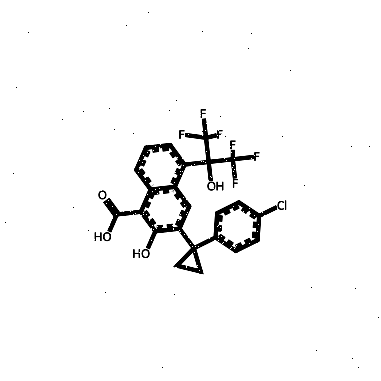 O=C(O)c1c(O)c(C2(c3ccc(Cl)cc3)CC2)cc2c(C(O)(C(F)(F)F)C(F)(F)F)cccc12